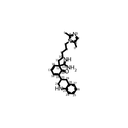 Cc1cnc(C)n1CCCCCC1(C(=N)N)C=CC=C(C2CNc3ccccc3C2)C1=O